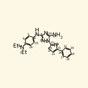 CCN(CC)c1ccc(Nc2nc(N)n(-c3nc(-c4ccccc4)cs3)n2)cc1